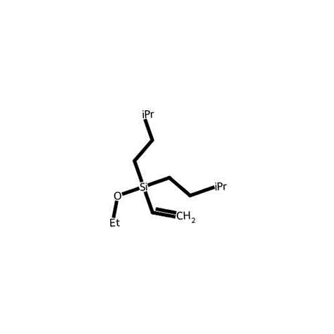 C=C[Si](CCC(C)C)(CCC(C)C)OCC